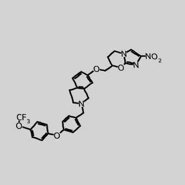 O=[N+]([O-])c1cn2c(n1)OC(COc1ccc3c(c1)CN(Cc1ccc(Oc4ccc(OC(F)(F)F)cc4)cc1)CC3)CC2